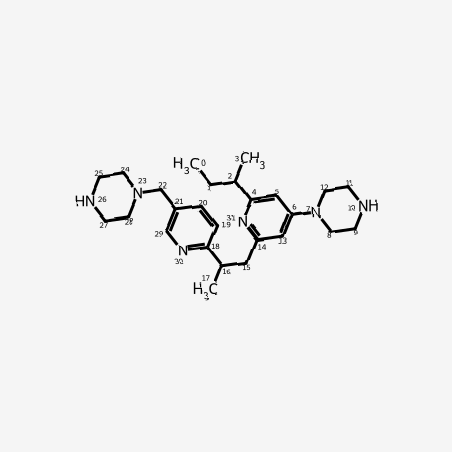 CCC(C)c1cc(N2CCNCC2)cc(CC(C)c2ccc(CN3CCNCC3)cn2)n1